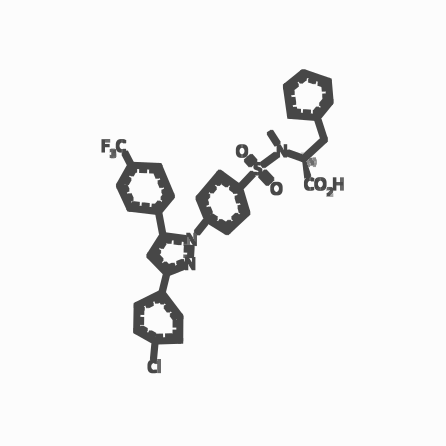 CN([C@@H](Cc1ccccc1)C(=O)O)S(=O)(=O)c1ccc(-n2nc(-c3ccc(Cl)cc3)cc2-c2ccc(C(F)(F)F)cc2)cc1